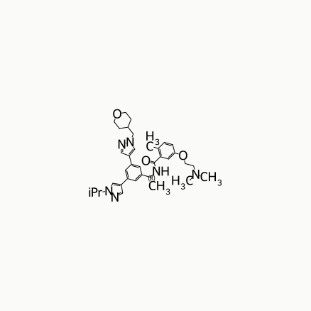 Cc1ccc(OCCN(C)C)cc1C(=O)N[C@H](C)c1cc(-c2cnn(CC3CCOCC3)c2)cc(-c2cnn(C(C)C)c2)c1